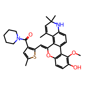 COc1c(O)ccc2c1-c1ccc3c(c1/C(=C/c1sc(C)cc1C(=O)N1CCCCC1)O2)C(C)=CC(C)(C)N3